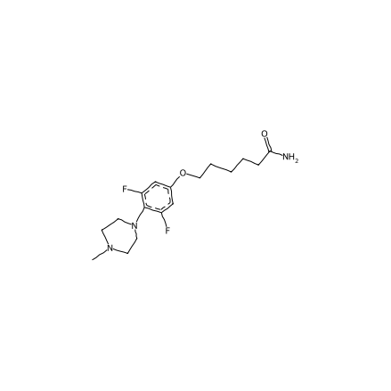 CN1CCN(c2c(F)cc(OCCCCCC(N)=O)cc2F)CC1